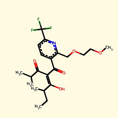 CCC(C)/C(O)=C(/C(=O)c1ccc(C(F)(F)F)nc1COCCOC)C(=O)C(C)C